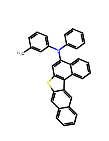 Cc1cccc(N(c2ccccc2)c2cc3sc4cc5ccccc5cc4c3c3ccccc23)c1